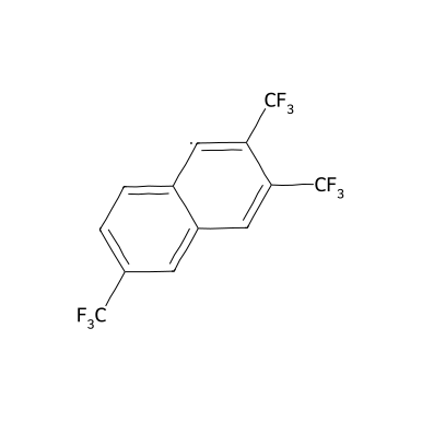 FC(F)(F)c1ccc2[c]c(C(F)(F)F)c(C(F)(F)F)cc2c1